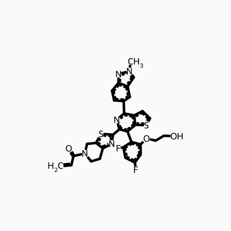 C=CC(=O)N1CCc2nc(-c3nc(-c4ccc5nn(C)cc5c4)c4ccsc4c3-c3c(F)cc(F)cc3OCCO)sc2C1